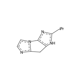 CC(C)c1nc2c([nH]1)Cc1nccn1-2